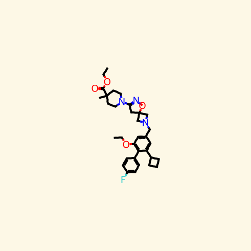 CCOC(=O)C1(C)CCN(C2=NOC3(C2)CN(Cc2cc(OCC)c(-c4ccc(F)cc4)c(C4CCC4)c2)C3)CC1